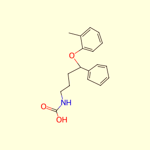 Cc1ccccc1OC(CCCNC(=O)O)c1ccccc1